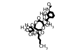 CCCCCC[C@H]1C(=O)O[C@H](C)[C@H](NC(=O)c2cccc(NC=O)c2O)C(=O)O[C@@H](C)[C@H]1C(C)(CC)C(=O)O